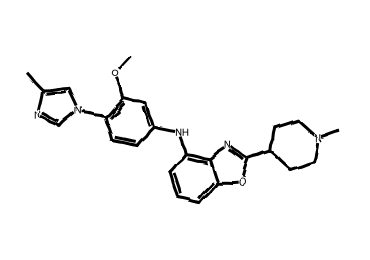 COc1cc(Nc2cccc3oc(C4CCN(C)CC4)nc23)ccc1-n1cnc(C)c1